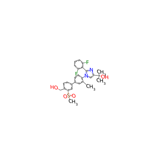 Cc1cc(-c2ccc(CO)c(S(C)(=O)=O)c2)ccc1-n1cc(C(C)(C)O)nc1-c1c(F)cccc1F